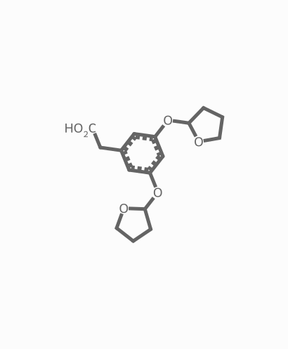 O=C(O)Cc1cc(OC2CCCO2)cc(OC2CCCO2)c1